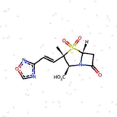 C[C@]1(/C=C/c2ncon2)[C@H](C(=O)O)N2C(=O)C[C@H]2S1(=O)=O